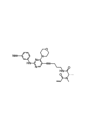 C=CC(=O)N(C)[C@@H](C)C(=O)NCCCC#Cc1cnc(Nc2cccc(C#N)c2)nc1N1CCOCC1